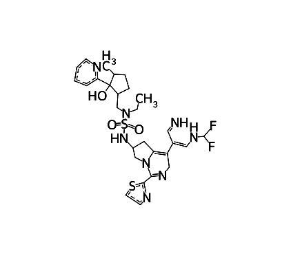 CCN(CC1CCC(C)C1(O)c1ccccn1)S(=O)(=O)NC1CC2=C(/C(C=N)=C/NC(F)F)CN=C(c3nccs3)N2C1